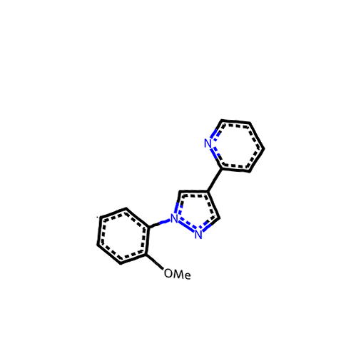 COc1cc[c]cc1-n1cc(-c2ccccn2)cn1